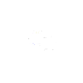 SC1CCCCC1/N=C\I